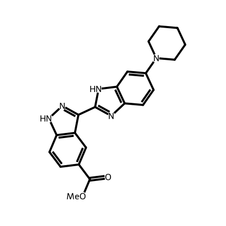 COC(=O)c1ccc2[nH]nc(-c3nc4ccc(N5CCCCC5)cc4[nH]3)c2c1